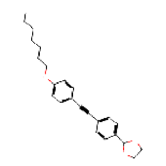 CCCCCCCOc1ccc(C#Cc2ccc(C3OCCO3)cc2)cc1